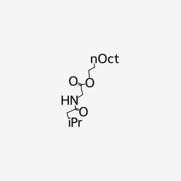 CCCCCCCCCCOC(=O)CNC(=O)CC(C)C